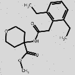 CCc1cccc(CC)c1CC(=O)NC1(C(=O)OC)CCOCC1